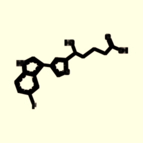 O=C(O)CCCC(O)c1cc(-c2c[nH]c3ccc(F)cc23)co1